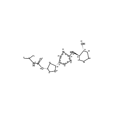 CC(C)NC(=O)O[C@H]1CO[C@@H](c2cnc(N[C@@H]3CCCC[C@H]3O)nc2)C1